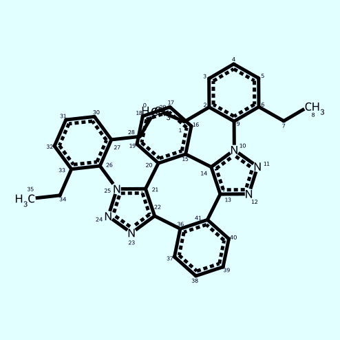 CCc1cccc(CC)c1-n1nnc2c1-c1ccccc1-c1c(nnn1-c1c(CC)cccc1CC)-c1ccccc1-2